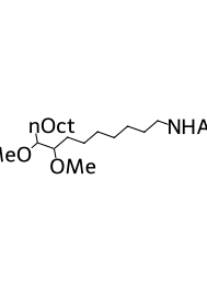 CCCCCCCCC(OC)C(CCCCCCCNC(C)=O)OC